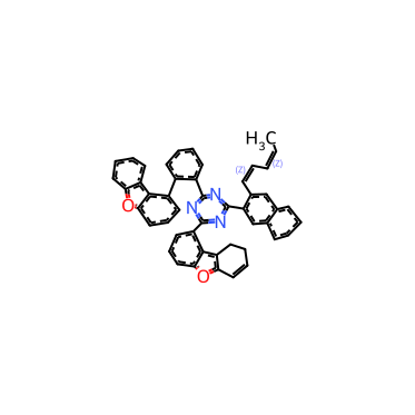 C/C=C\C=C/c1cc2ccccc2cc1-c1nc(-c2ccccc2-c2cccc3oc4ccccc4c23)nc(-c2cccc3oc4c(c23)CCC=C4)n1